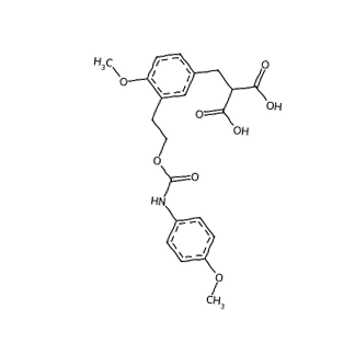 COc1ccc(NC(=O)OCCc2cc(CC(C(=O)O)C(=O)O)ccc2OC)cc1